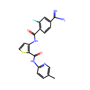 Cc1ccc(NC(=O)c2sccc2NC(=O)c2ccc(C(=N)N)cc2F)nc1